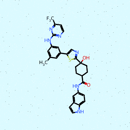 Cc1cc(Nc2nccc(C(F)(F)F)n2)cc(-c2cnc(C3(O)CCC(C(=O)Nc4ccc5[nH]ccc5c4)CC3)s2)c1